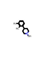 CCCN1CCC(c2cccc(C(C)=O)c2C#N)CC1